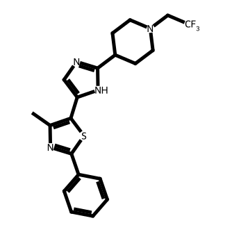 Cc1nc(-c2ccccc2)sc1-c1cnc(C2CCN(CC(F)(F)F)CC2)[nH]1